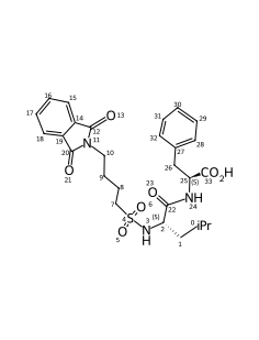 CC(C)C[C@H](NS(=O)(=O)CCCCN1C(=O)c2ccccc2C1=O)C(=O)N[C@@H](Cc1ccccc1)C(=O)O